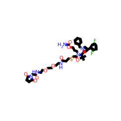 CC(C)(C)C(c1cc(-c2cc(F)ccc2F)cn1Cc1ccccc1)N(CCCOC(N)=O)C(=O)CSCCC(=O)NCCOCCOCCNC(=O)CN1C(=O)C=CC1=O